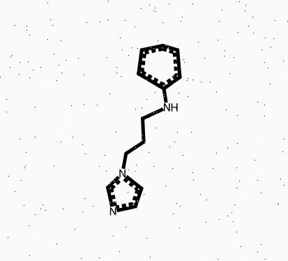 c1ccc(NCCCn2ccnc2)cc1